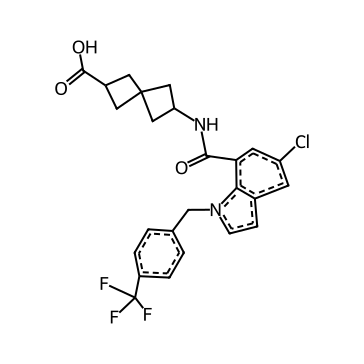 O=C(NC1CC2(C1)CC(C(=O)O)C2)c1cc(Cl)cc2ccn(Cc3ccc(C(F)(F)F)cc3)c12